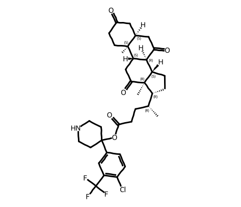 C[C@H](CCC(=O)OC1(c2ccc(Cl)c(C(F)(F)F)c2)CCNCC1)[C@H]1CC[C@H]2[C@@H]3C(=O)C[C@@H]4CC(=O)CC[C@]4(C)[C@H]3CC(=O)[C@]12C